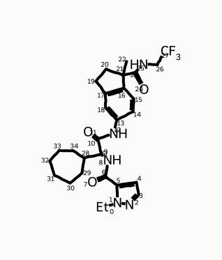 CCn1nccc1C(=O)N[C@H](C(=O)Nc1ccc2c(c1)CCC2(C)C(=O)NCC(F)(F)F)C1CCCCCC1